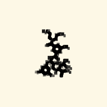 CCCN(CCC)C(=O)c1cc(C)cc(C(=O)N[C@@H](Cc2cc(F)cc(F)c2)[C@H](O)CNC(CC(C)C)C(N)=O)c1